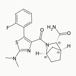 CN(C)c1nc(C(=O)N2[C@@H]3CC[C@@H](C3)[C@H]2C(N)=O)c(-c2ccccc2F)s1